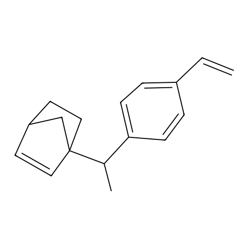 C=Cc1ccc(C(C)C23C=CC(CC2)C3)cc1